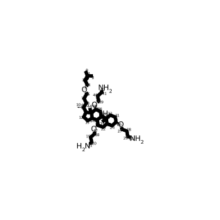 CC(C)=CCOCCC[C@@H](C)C1CCC2C3[C@H](OCCCN)CC4C[C@H](OCCCN)CCC4(C)[C@H]3C[C@H](OCCCN)C21C